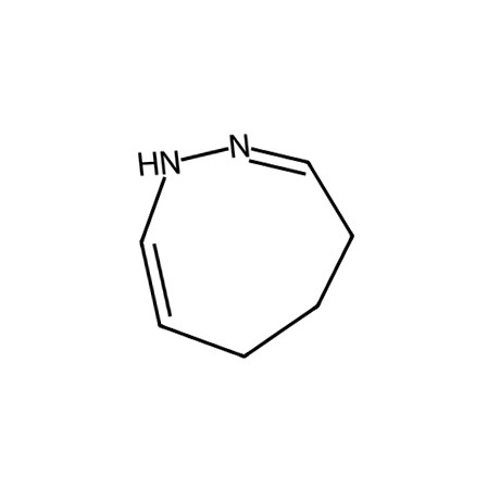 C1=C\N/N=C\CCC/1